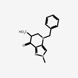 Cn1cc2c(n1)C(=O)C(C(=O)O)CN2Cc1ccccc1